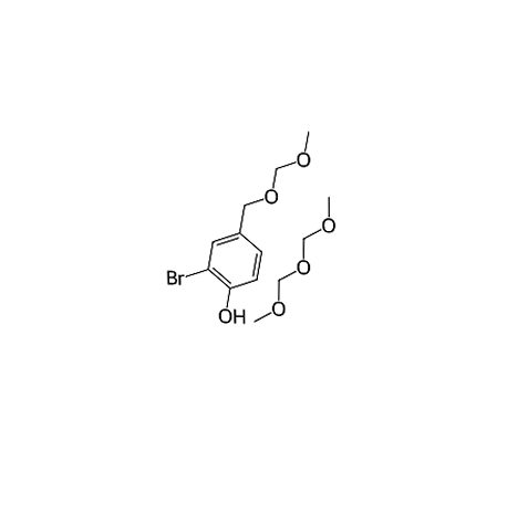 COCOCOC.COCOCc1ccc(O)c(Br)c1